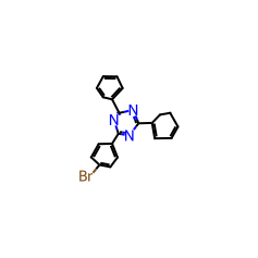 Brc1ccc(-c2nc(C3=CC=CCC3)nc(-c3ccccc3)n2)cc1